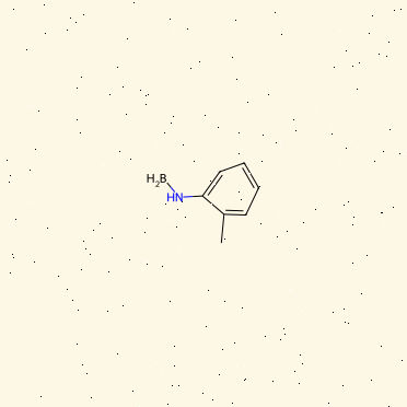 BNc1ccccc1C